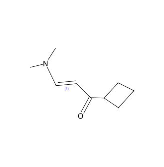 CN(C)/C=C/C(=O)C1CCC1